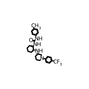 Cc1ccc(NC(=O)N[C@@H]2CCCC[C@H]2N[C@H]2CCCN(c3ccc(C(F)(F)F)cc3)C2)cc1